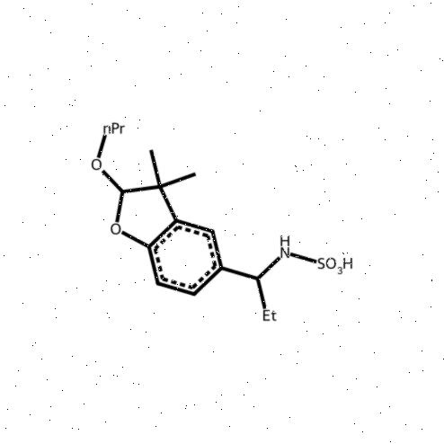 CCCOC1Oc2ccc(C(CC)NS(=O)(=O)O)cc2C1(C)C